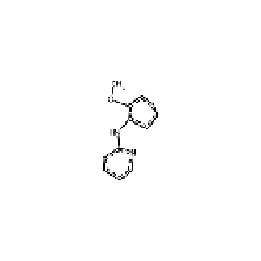 COc1ccccc1Nc1ccccn1